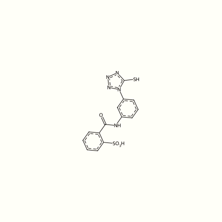 O=C(Nc1cccc(-n2nnnc2S)c1)c1ccccc1S(=O)(=O)O